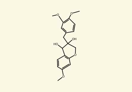 COc1ccc2c(c1)OCC(O)(Cc1ccc(OC)c(OC)c1)C2O